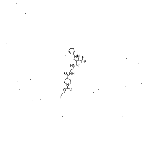 O=C(NCCNC(=O)C1CCN(C(=O)OCCF)CC1)c1cn(-c2ccccc2)nc1C(F)(F)F